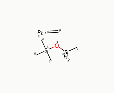 C=C.C[SiH2]O[Si](C)(C)C.[Pt]